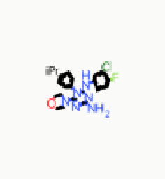 CC(C)c1ccc(N2C(N3CCOCC3)=NC(N)=NC2Nc2ccc(F)c(Cl)c2)cc1